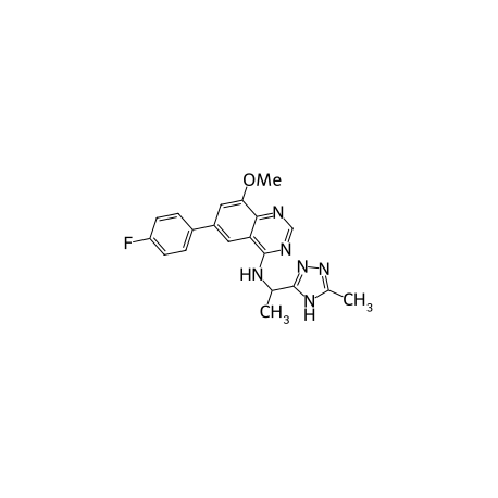 COc1cc(-c2ccc(F)cc2)cc2c(NC(C)c3nnc(C)[nH]3)ncnc12